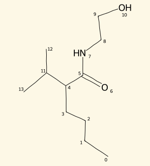 CCCCC(C(=O)NCCO)C(C)C